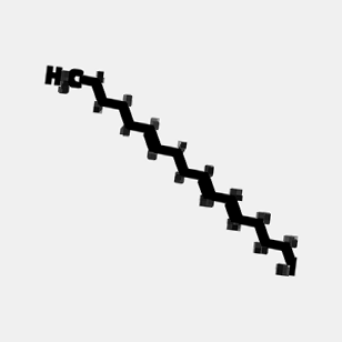 CCCCCC=CCCC=CC=CCCCI